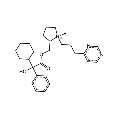 C[N@+]1(CCCc2ccncn2)CCCC1COC(=O)C(O)(c1ccccc1)C1CCCCC1